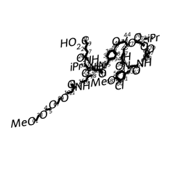 COCCOCCOCCOCCC(=O)NCCCC[C@H](NC(=O)[C@@H](NC(=O)CCCC(=O)O)C(C)C)C(=O)NCc1ccc([C@H]2O[C@@H]2[C@@H](C)[C@@H]2C/C=C/C(=O)N[C@H](Cc3ccc(OC)c(Cl)c3)C(=O)NCC(C)(C)C(=O)O[C@@H](CC(C)C)C(=O)O2)cc1